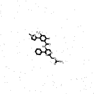 Cn1ccc(-c2cc(C(=O)Nc3cnc(COC(N)=O)nc3-c3ccccc3)c(F)cc2C(F)(F)F)n1